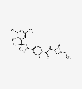 Cc1cc(C2=NOC(c3cc(C(F)(F)F)cc(Cl)c3F)(C(F)(F)F)C2)ccc1C(=O)NC1CN(CC(F)(F)F)C1=O